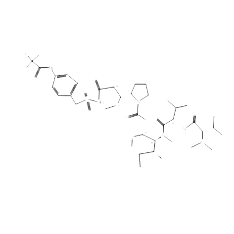 CC[C@H](C)[C@@H]([C@@H](CC(=O)N1CCC[C@H]1C(OC)[C@@H](C)C(=O)NS(=O)(=O)Cc1ccc(NC(=O)C(F)(F)F)cc1)OC)N(C)C(=O)[C@@H](NC(=O)[C@H](C(C)C)N(C)C)C(C)C